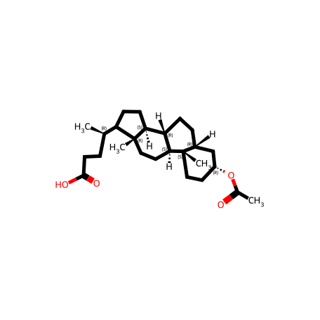 CC(=O)O[C@@H]1CC[C@@]2(C)[C@H](CC[C@@H]3[C@@H]2CC[C@]2(C)C([C@H](C)CCC(=O)O)CC[C@@H]32)C1